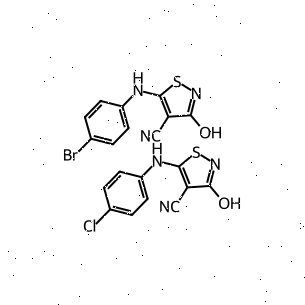 N#Cc1c(O)nsc1Nc1ccc(Br)cc1.N#Cc1c(O)nsc1Nc1ccc(Cl)cc1